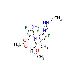 C=C(OCC)C1=CN(c2cc(N)c(F)cc2COC(C)=O)c2c(cc(F)c(N3CC(NCCC)C3)c2F)C1=C